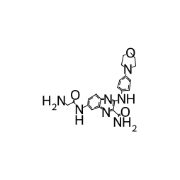 NCC(=O)Nc1ccc2nc(Nc3ccc(N4CCOCC4)cc3)c(C(N)=O)nc2c1